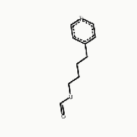 O=COCCCCc1ccncc1